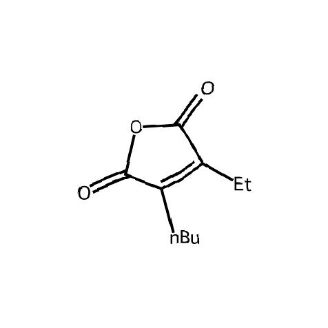 CCCCC1=C(CC)C(=O)OC1=O